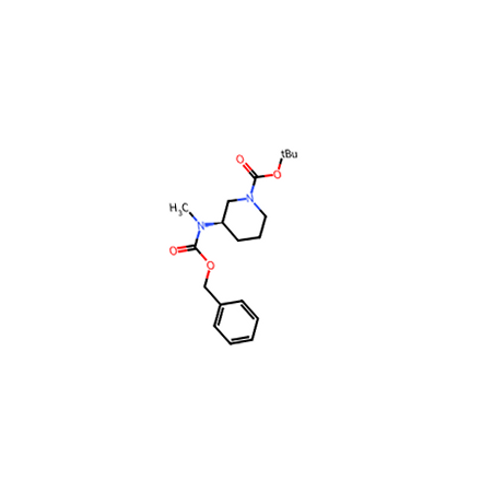 CN(C(=O)OCc1ccccc1)[C@@H]1CCCN(C(=O)OC(C)(C)C)C1